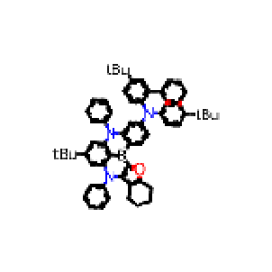 CC(C)(C)c1ccc(N(c2ccc3c(c2)N(c2ccccc2)c2cc(C(C)(C)C)cc4c2B3c2oc3c(c2N4c2ccccc2)CCCC3)c2ccc(C(C)(C)C)cc2-c2ccccc2)cc1